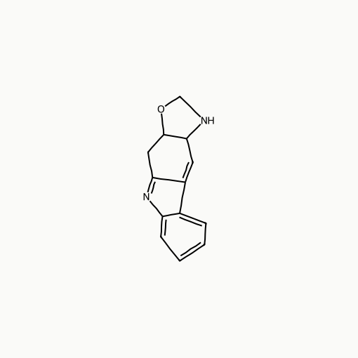 C1=C2C(=Nc3ccccc32)CC2OCNC12